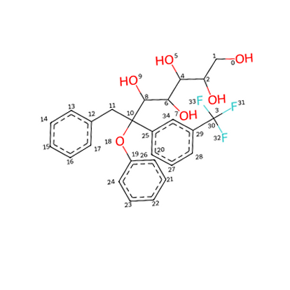 OCC(O)C(O)C(O)C(O)C(Cc1ccccc1)(Oc1ccccc1)c1cccc(C(F)(F)F)c1